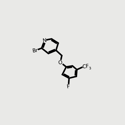 Fc1cc(OCc2ccnc(Br)c2)cc(C(F)(F)F)c1